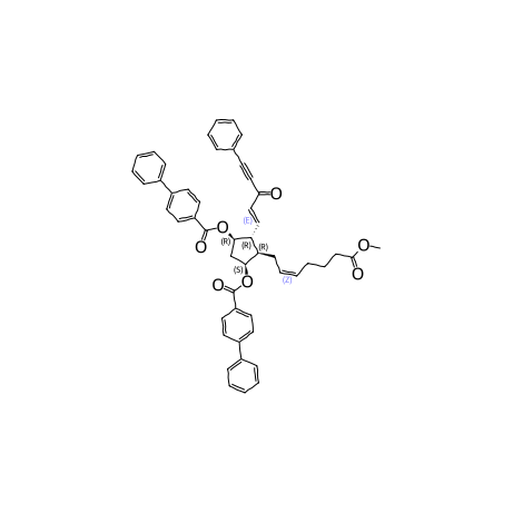 COC(=O)CCC/C=C\C[C@@H]1[C@@H](/C=C/C(=O)C#Cc2ccccc2)[C@H](OC(=O)c2ccc(-c3ccccc3)cc2)C[C@@H]1OC(=O)c1ccc(-c2ccccc2)cc1